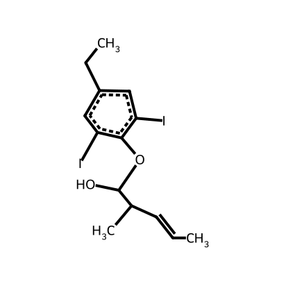 CC=CC(C)C(O)Oc1c(I)cc(CC)cc1I